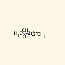 CCc1ccc(/C=C/C(=O)C(C)C)cc1